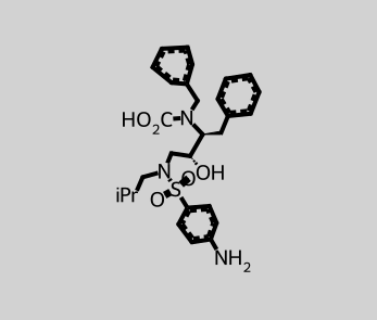 CC(C)CN(C[C@@H](O)[C@H](Cc1ccccc1)N(Cc1ccccc1)C(=O)O)S(=O)(=O)c1ccc(N)cc1